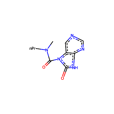 CCCN(C)C(=O)n1c(=O)[nH]c2ncncc21